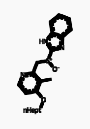 CCCCCCCOc1ccnc(C[S+]([O-])c2nc3ccccc3[nH]2)c1C